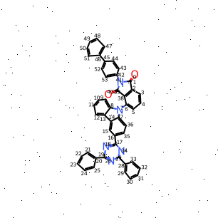 O=C1c2cccc(-n3c4ccccc4c4cc(-c5nc(-c6ccccc6)nc(-c6ccccc6)n5)ccc43)c2C(=O)N1c1ccc(-c2ccccc2)cc1